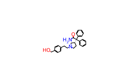 NC(=O)C(c1ccccc1)(c1ccccc1)[C@@H]1CCN(CCc2ccc(CO)cc2)C1